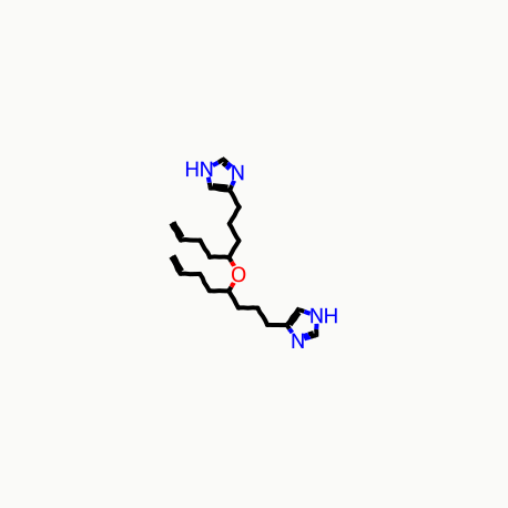 C=CCCC(CCCc1c[nH]cn1)OC(CCC=C)CCCc1c[nH]cn1